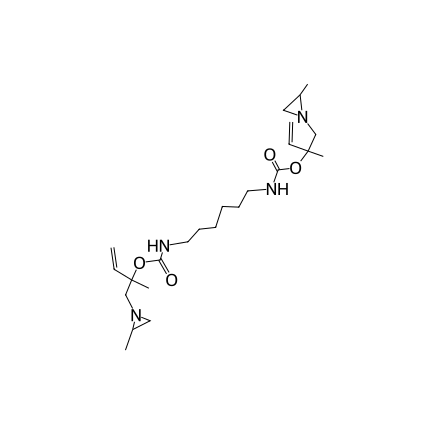 C=CC(C)(CN1CC1C)OC(=O)NCCCCCCNC(=O)OC(C)(C=C)CN1CC1C